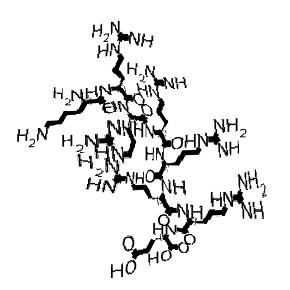 N=C(N)NCCC[C@H](NC(=O)[C@H](CCCNC(=N)N)NC(=O)[C@H](CCCNC(=N)N)NC(=O)[C@H](CCCNC(=N)N)NC(=O)[C@H](CCCNC(=N)N)NC(=O)[C@H](CCCNC(=N)N)NC(=O)[C@@H](N)CCCCN)C(=O)N[C@@H](CCC(=O)O)C(=O)O